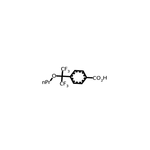 CCCOC(c1ccc(C(=O)O)cc1)(C(F)(F)F)C(F)(F)F